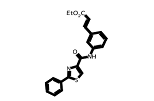 CCOC(=O)/C=C/c1cccc(NC(=O)c2csc(-c3ccccc3)n2)c1